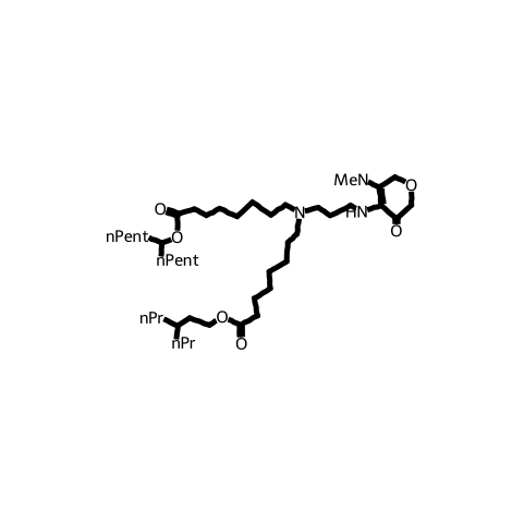 CCCCCC(CCCCC)OC(=O)CCCCCCCN(CCCCCCCC(=O)OCCC(CCC)CCC)CCCNC1=C(NC)COCC1=O